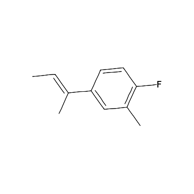 C/C=C(\C)c1ccc(F)c(C)c1